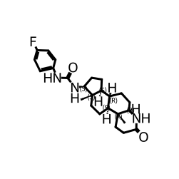 C[C@]12CCC(=O)N[C@@H]1CC[C@@H]1[C@@H]2CC[C@]2(C)[C@@H](NC(=O)Nc3ccc(F)cc3)CC[C@@H]12